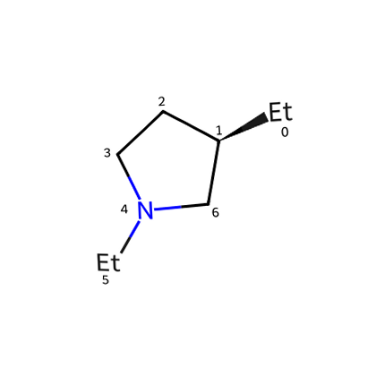 CC[C@@H]1CCN(CC)C1